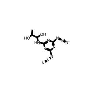 CC(O)C(O)Nc1nc(N=[N+]=[N-])nc(N=[N+]=[N-])n1